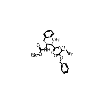 CC(C)CC(NC(=O)[C@@H](O)[C@@H](Cc1ccccc1)NC(=O)OC(C)(C)C)C(=O)OCc1ccccc1